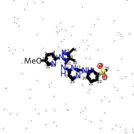 COc1ccc(-n2nc(C)c(C)c2Nc2ccnc(Nc3cccc(S(C)(=O)=O)c3)n2)nc1